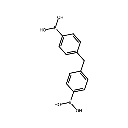 OB(O)c1ccc(Cc2ccc(B(O)O)cc2)cc1